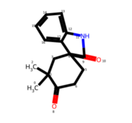 CC1(C)CC2(CCC1=O)C(=O)Nc1ccccc12